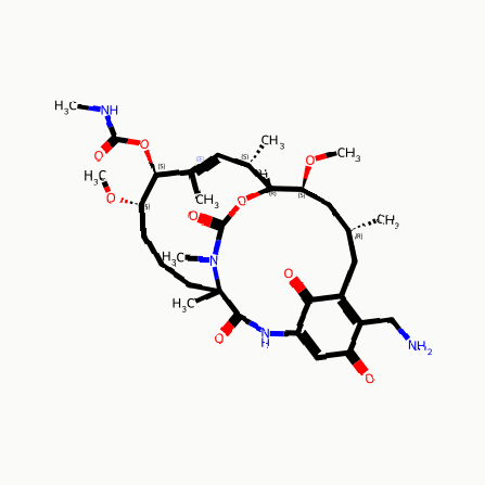 CNC(=O)O[C@H]1/C(C)=C/[C@H](C)[C@H]2OC(=O)N(C)C(C)(CCC[C@@H]1OC)C(=O)NC1=CC(=O)C(CN)=C(C[C@@H](C)C[C@@H]2OC)C1=O